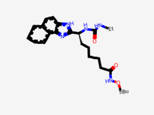 CCCCONC(=O)CCCCC[C@H](NC(=O)NCC)c1nc2c(ccc3ccccc32)[nH]1